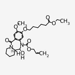 C=CCOC(=O)N1c2cc(OCCCCCC(=O)OCC)c(OC)cc2C(=O)N2CCCC[C@H]2C1O